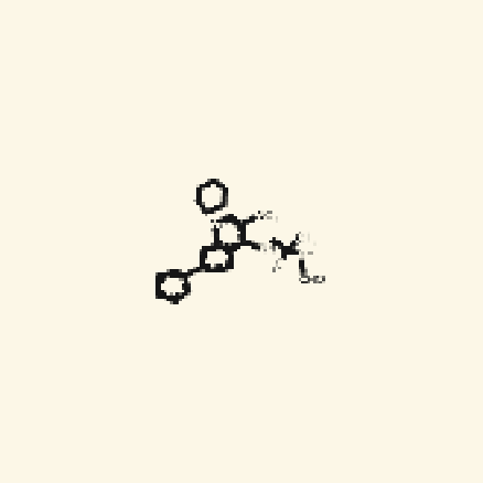 C1CCCCC1.CC(C)(CNc1c([N+](=O)[O-])cnc2cc(-c3ccccc3)ccc12)NC=O